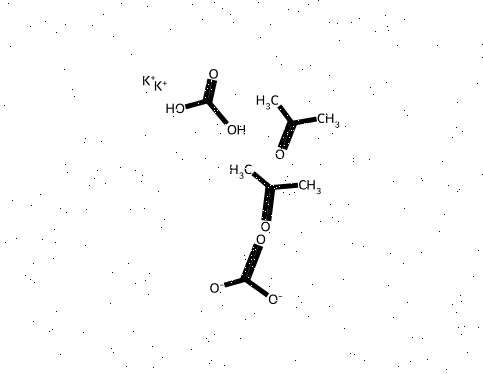 CC(C)=O.CC(C)=O.O=C(O)O.O=C([O-])[O-].[K+].[K+]